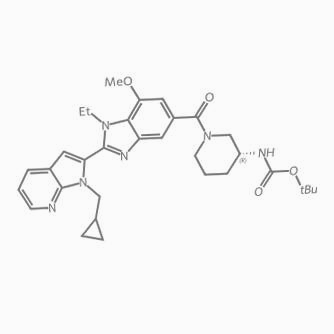 CCn1c(-c2cc3cccnc3n2CC2CC2)nc2cc(C(=O)N3CCC[C@@H](NC(=O)OC(C)(C)C)C3)cc(OC)c21